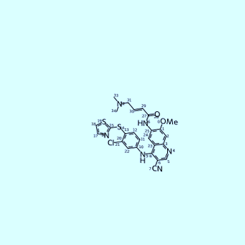 COc1cc2ncc(C#N)c(Nc3ccc(Sc4nccs4)c(Cl)c3)c2cc1NC(=O)/C=C/CN(C)C